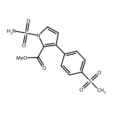 COC(=O)c1c(-c2ccc(S(C)(=O)=O)cc2)ccn1S(N)(=O)=O